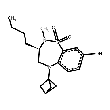 CCCC[C@@H]1CN(C23CC(C2)C3)c2ccc(O)cc2S(=O)(=O)N1C